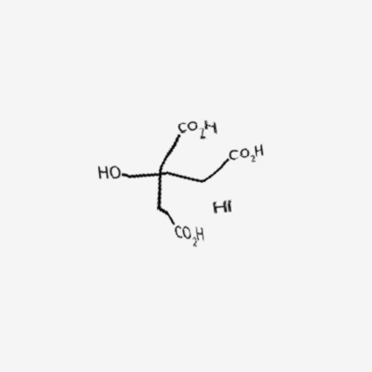 I.O=C(O)CC(O)(CC(=O)O)C(=O)O